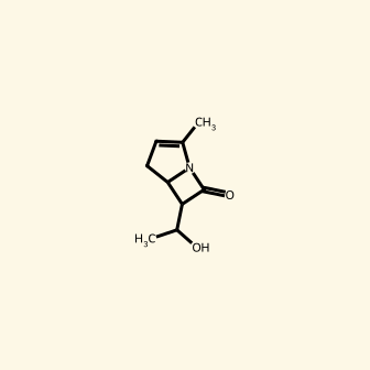 CC1=CCC2C(C(C)O)C(=O)N12